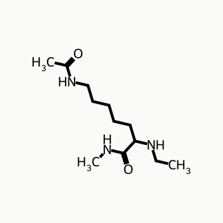 CCNC(CCCCCNC(C)=O)C(=O)NC